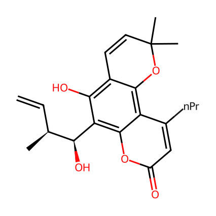 C=C[C@H](C)[C@H](O)c1c(O)c2c(c3c(CCC)cc(=O)oc13)OC(C)(C)C=C2